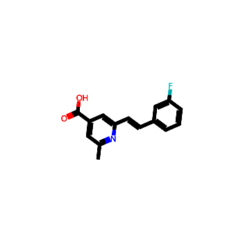 Cc1cc(C(=O)O)cc(C=Cc2cccc(F)c2)n1